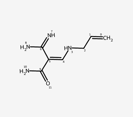 C=CCN/C=C(\C(=N)N)C(N)=O